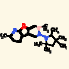 CB1C=c2oc3nc(C)ccc3c2=CN1N1[C@@H](C)C(C)(C)CC1(C)C